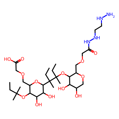 CCC(C)(C)OC1C(COCC(=O)O)OC(C(C)(CC)C(C)(CC)OC2C(COCC(=O)NNCCNN)OCC(O)C2O)C(O)C1O